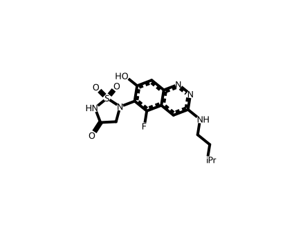 CC(C)CCNc1cc2c(F)c(N3CC(=O)NS3(=O)=O)c(O)cc2nn1